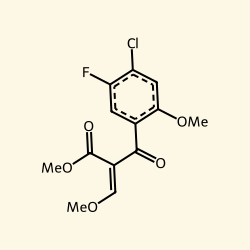 CO/C=C(\C(=O)OC)C(=O)c1cc(F)c(Cl)cc1OC